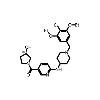 CCOc1cc(CN2CCC(Nc3ccc(C(=O)N4CC[C@@H](O)C4)cn3)CC2)cc(OCC)c1Cl